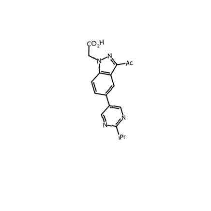 CC(=O)c1nn(CC(=O)O)c2ccc(-c3cnc(C(C)C)nc3)cc12